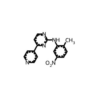 Cc1ccc([N+](=O)[O-])cc1Nc1nccc(-c2ccncc2)n1